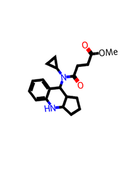 COC(=O)CCC(=O)N(C1CC1)C1c2ccccc2NC2CCCC21